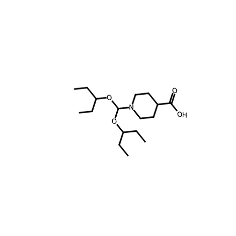 CCC(CC)OC(OC(CC)CC)N1CCC(C(=O)O)CC1